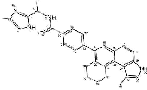 Cc1c[nH]c(C(C)NC(=O)c2ccc(-c3nc4ccc5[nH]nc(C)c5c4c4c3CCCC4)cc2)n1